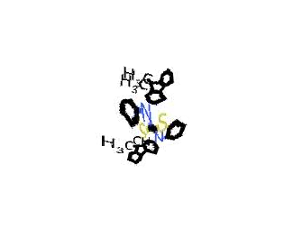 CC1(C)c2ccccc2-c2ccc(N3/C(=C4\Sc5ccccc5N4c4ccc5c(c4)C(C)(C)c4ccccc4-5)Sc4ccccc43)cc21